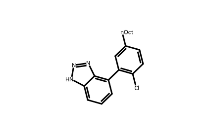 CCCCCCCCc1ccc(Cl)c(-c2cccc3[nH]nnc23)c1